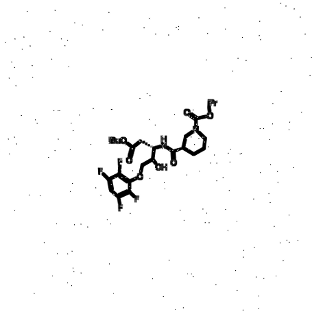 CC(C)COC(=O)C[C@H](NC(=O)[C@@H]1CCCN(C(=O)OC(C)C)C1)C(O)COc1c(F)c(F)cc(F)c1F